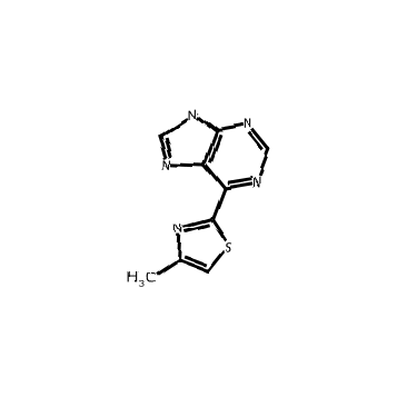 Cc1csc(-c2ncnc3c2N=C[N]3)n1